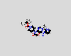 Cc1ncccc1Nc1ncnc2c1OCC(=O)N2C1CCN(C(=O)OC(C)C)CC1